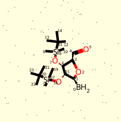 B[C@@H]1O[C@H](C=O)[C@@H](O[Si](C)(C)C(C)(C)C)[C@H]1O[Si](C)(C)C(C)(C)C